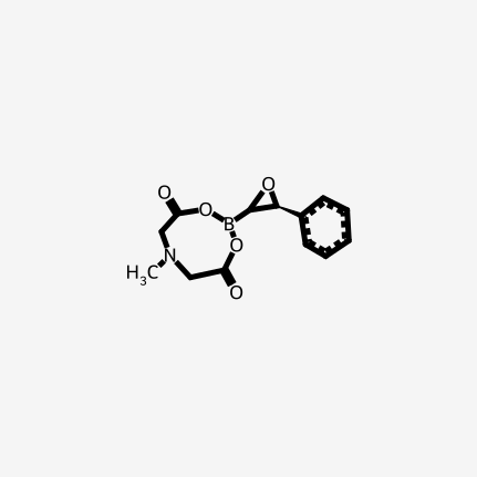 CN1CC(=O)OB(C2O[C@H]2c2ccccc2)OC(=O)C1